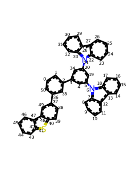 c1cc(-c2cc(-n3c4ccccc4c4ccccc43)cc(-n3c4ccccc4c4ccccc43)c2)cc(-c2ccc3sc4ccccc4c3c2)c1